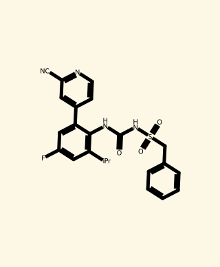 CC(C)c1cc(F)cc(-c2ccnc(C#N)c2)c1NC(=O)NS(=O)(=O)Cc1ccccc1